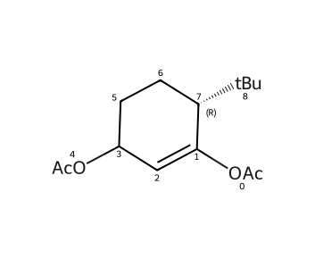 CC(=O)OC1=CC(OC(C)=O)CC[C@@H]1C(C)(C)C